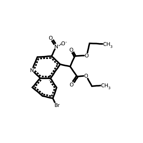 CCOC(=O)C(C(=O)OCC)c1c([N+](=O)[O-])cnc2ccc(Br)cc12